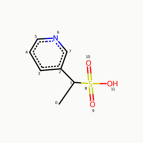 CC(c1cccnc1)S(=O)(=O)O